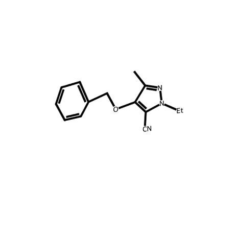 CCn1nc(C)c(OCc2ccccc2)c1C#N